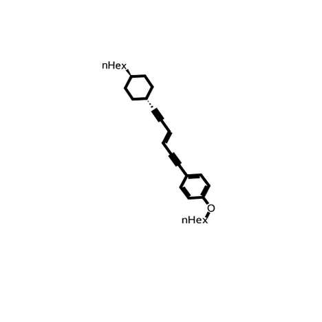 CCCCCCOc1ccc(C#C/C=C/C#C[C@H]2CC[C@H](CCCCCC)CC2)cc1